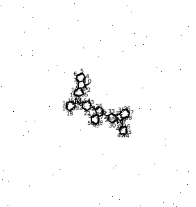 CC1(C)c2ccccc2-c2ccc(N(c3ccccc3)c3ccc(-c4ccc(-c5ccc6c(c5)c5ccccc5n6-c5ccccc5)c5ccccc45)cc3)cc21